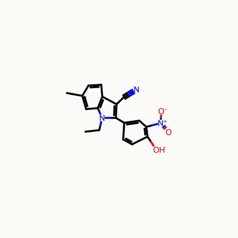 CCn1c(-c2ccc(O)c([N+](=O)[O-])c2)c(C#N)c2ccc(C)cc21